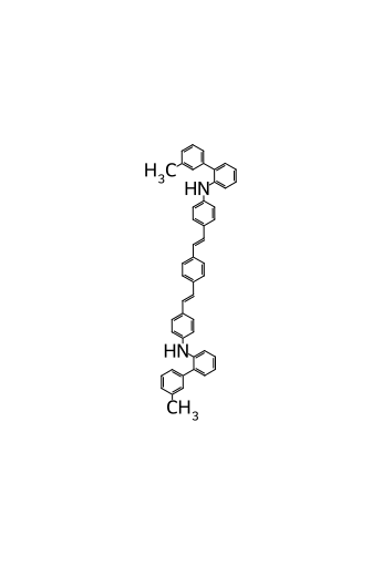 Cc1cccc(-c2ccccc2Nc2ccc(C=Cc3ccc(C=Cc4ccc(Nc5ccccc5-c5cccc(C)c5)cc4)cc3)cc2)c1